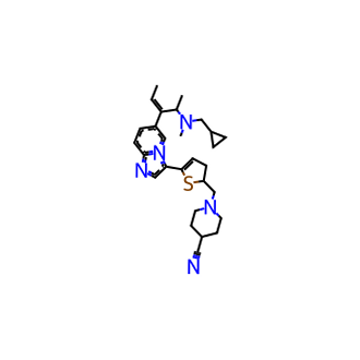 C/C=C(/c1ccc2ncc(C3=CCC(CN4CCC(C#N)CC4)S3)n2c1)C(C)N(C)CC1CC1